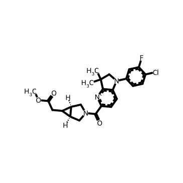 COC(=O)CC1[C@H]2CN(C(=O)c3ccc4c(n3)C(C)(C)CN4c3ccc(Cl)c(F)c3)C[C@@H]12